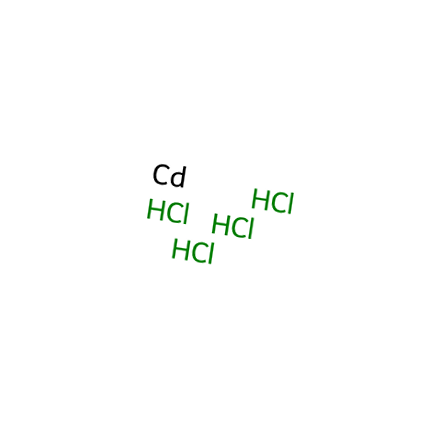 Cl.Cl.Cl.Cl.[Cd]